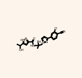 BC(C)(Cn1ccc(-c2ccc(C#N)c(Cl)c2)n1)NC(=O)c1cc(C(C)O)[nH]n1